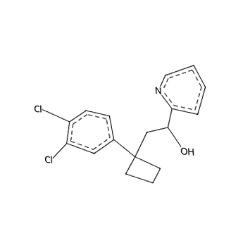 OC(CC1(c2ccc(Cl)c(Cl)c2)CCC1)c1ccccn1